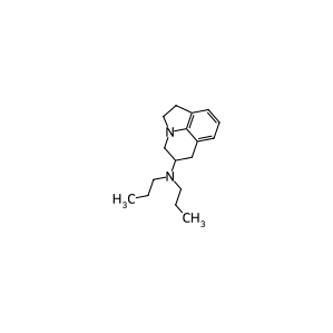 CCCN(CCC)C1Cc2cccc3c2N(CC3)C1